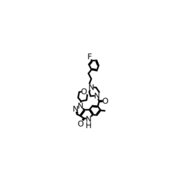 Cc1cc2[nH]c(=O)c3cnn(C4CCOCC4)c3c2cc1C(=O)N1CCN(CCCc2cccc(F)c2)CC1